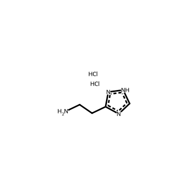 Cl.Cl.NCCc1nc[nH]n1